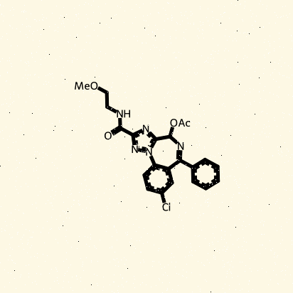 COCCNC(=O)c1nc2n(n1)-c1ccc(Cl)cc1C(c1ccccc1)=NC2OC(C)=O